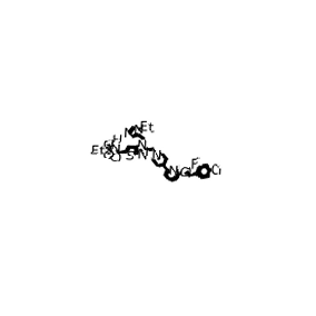 CCn1cncc1Cn1c(CN2CCC(c3cccc(OCc4ccc(Cl)cc4F)n3)CC2)nc2sc(C(=O)NS(=O)(=O)CC)cc21